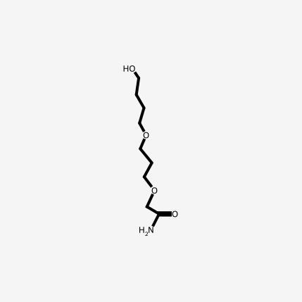 NC(=O)COCCCOCCCCO